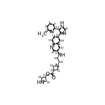 Cc1cccc(-c2[nH]cnc2-c2ccc3ncc(NCCN4CC(C(=O)OC5CNC5)C4)cc3c2)n1